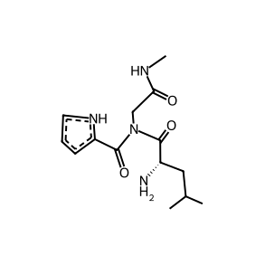 CNC(=O)CN(C(=O)c1ccc[nH]1)C(=O)[C@@H](N)CC(C)C